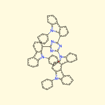 c1ccc(-n2c3ccccc3c3c4c5ccccc5n(-c5nc(-c6cccc7c8ccccc8n(-c8ccccc8)c67)nc(-c6cccc7c8ccccc8n(-c8ccccc8)c67)n5)c4ccc32)cc1